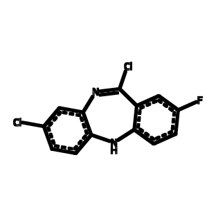 Fc1ccc2c(c1)C(Cl)=Nc1cc(Cl)ccc1N2